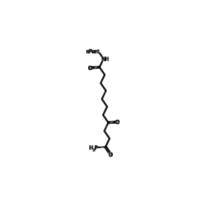 CCCCCNC(=O)CCCCCCC(=O)CCC(=O)P